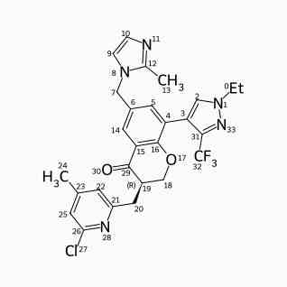 CCn1cc(-c2cc(Cn3ccnc3C)cc3c2OC[C@@H](Cc2cc(C)cc(Cl)n2)C3=O)c(C(F)(F)F)n1